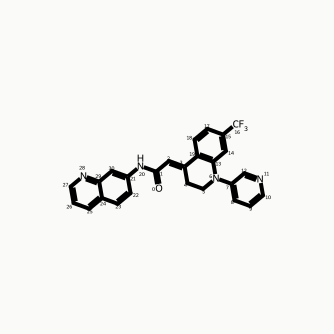 O=C(C=C1CCN(c2cccnc2)c2cc(C(F)(F)F)ccc21)Nc1ccc2cccnc2c1